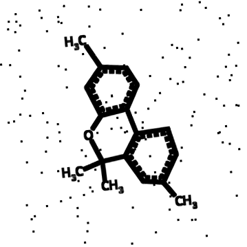 Cc1ccc2c(c1)OC(C)(C)c1cc(C)ccc1-2